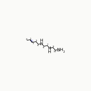 C/C=C/CCNCCNCCN